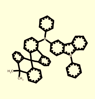 CC1(C)c2ccccc2C2(c3ccccc3-c3c(N(c4ccccc4)c4ccc5c(c4)c4ccccc4n5-c4ccccc4)cccc32)c2ccccc21